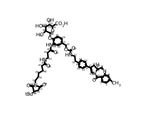 Cc1ccc2c(c1)N=C[C@@H]1CC(c3ccc(CCNC(=O)OCc4ccc(O[C@@H]5OC(C(=O)O)[C@@H](O)[C@H](O)C5O)c(NC(=O)CCNC(=O)CCCCCN5C(=O)C[C@@H](C(C)(C)C)C5=O)c4)cc3)=CN1C2=O